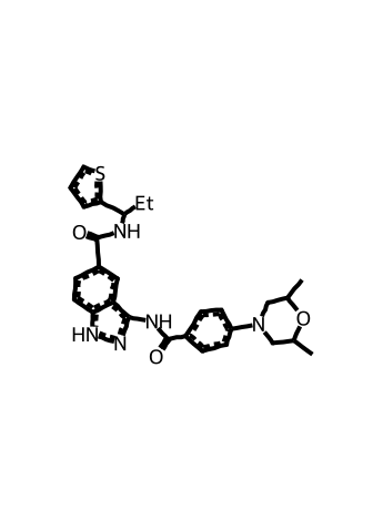 CCC(NC(=O)c1ccc2[nH]nc(NC(=O)c3ccc(N4CC(C)OC(C)C4)cc3)c2c1)c1cccs1